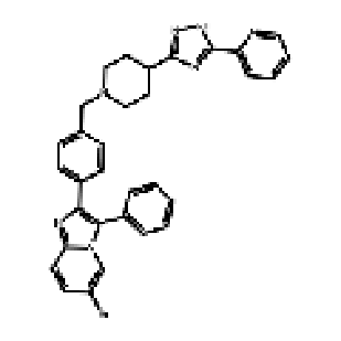 Brc1ccc2nc(-c3ccc(CN4CCC(c5n[nH]c(-c6ccccn6)n5)CC4)cc3)c(-c3ccccc3)n2c1